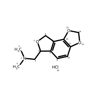 CN(C)CC1OCc2c1ccc1c2OCO1.Cl